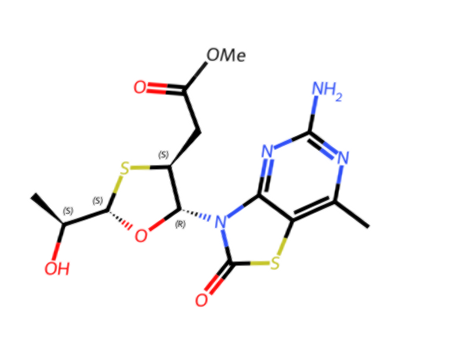 COC(=O)C[C@@H]1S[C@@H]([C@H](C)O)O[C@H]1n1c(=O)sc2c(C)nc(N)nc21